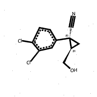 N#C[C@]1(c2ccc(Cl)c(Cl)c2)C[C@H]1CO